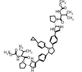 COC(=O)N[C@H](C(=O)N1CCC[C@H]1C1NC=C(c2ccc([C@H]3CC[C@@H](c4ccc(C5=CNC([C@@H]6CCCN6C(=O)[C@@H](NC(=O)OC)C(C)C)N5)cc4)N3C3=CCC(C4CC4)C=C3)cc2)N1)C(C)C